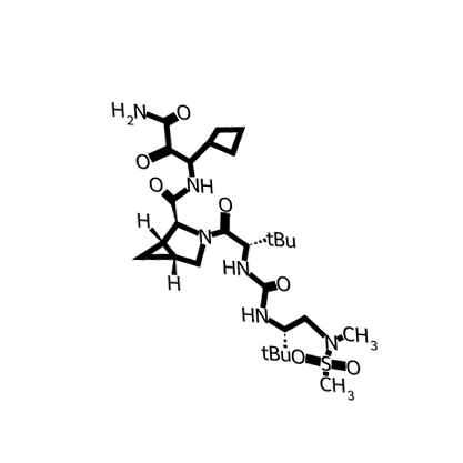 CN(C[C@@H](NC(=O)N[C@H](C(=O)N1C[C@@H]2C[C@@H]2[C@H]1C(=O)NC(C(=O)C(N)=O)C1CCC1)C(C)(C)C)C(C)(C)C)S(C)(=O)=O